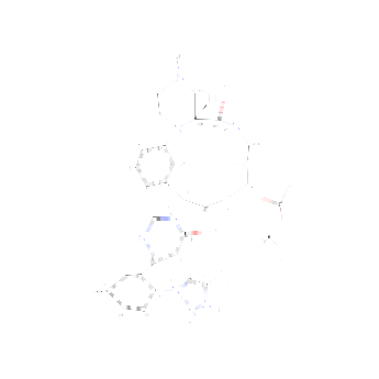 CC(=O)OC(F)(F)F.CN1CCN2c3cccc(c3)[C@@H](n3cnc(-c4cc(Cl)ccc4-n4cc(Cl)nn4)cc3=O)CCCCCNC(=O)[C@H]2C1